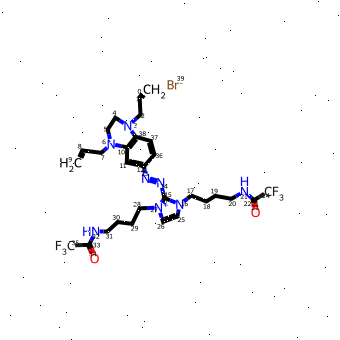 C=CCN1CCN(CC=C)c2cc(/N=N/c3n(CCCCNC(=O)C(F)(F)F)cc[n+]3CCCCNC(=O)C(F)(F)F)ccc21.[Br-]